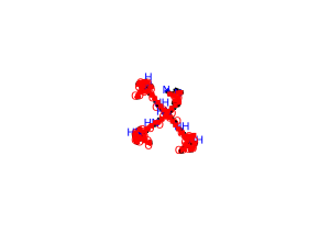 CC(=O)N[C@H]1[C@H](OCCOCCNCC(=O)CCOCC(COCCC(=O)NCCOCCO[C@@H]2O[C@H](COC(C)=O)[C@H](OC(C)=O)[C@H](OC(C)=O)[C@H]2NC(C)=O)(COCCC(=O)NCCOCCO[C@@H]2O[C@H](COC(C)=O)[C@H](OC(C)=O)[C@H](OC(C)=O)[C@H]2NC(C)=O)NC(=O)CCc2ccc(OP(OCCC#N)N(C(C)C)C(C)C)cc2)O[C@H](COC(C)=O)[C@H](OC(C)=O)[C@@H]1OC(C)=O